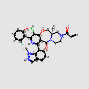 C=CC(=O)N1CCN2C(=O)c3c(-c4cccc5cnn(C)c45)nc(-c4c(O)cccc4F)c(Cl)c3OC[C@H]2C1